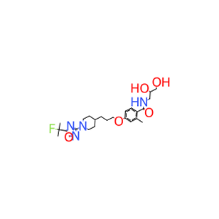 Cc1cc(OCCCC2CCN(c3noc(C(C)(C)F)n3)CC2)ccc1C(=O)NCC(O)CO